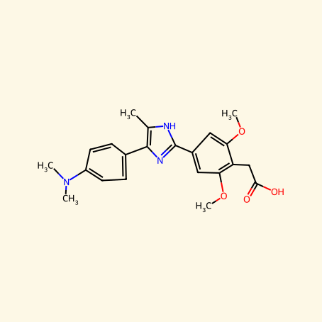 COc1cc(-c2nc(-c3ccc(N(C)C)cc3)c(C)[nH]2)cc(OC)c1CC(=O)O